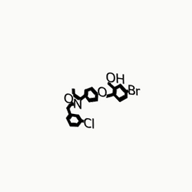 Cc1oc(Cc2cccc(Cl)c2)nc1-c1ccc(OCc2ccc(Br)cc2CO)cc1